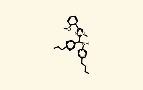 CCCCc1ccc(NC(c2ccc(CCC)cc2)c2nc(C3C=CC=CC3OC)cn2C)cc1